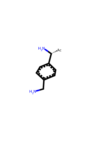 CC(=O)[C@@H](N)c1ccc(CN)cc1